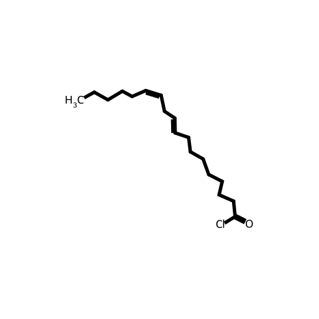 CCCCC/C=C\CC=CCCCCCCCC(=O)Cl